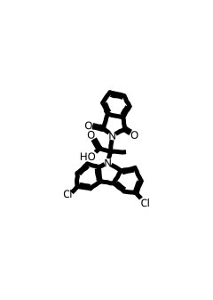 CC(C(=O)O)(N1C(=O)c2ccccc2C1=O)n1c2ccc(Cl)cc2c2cc(Cl)ccc21